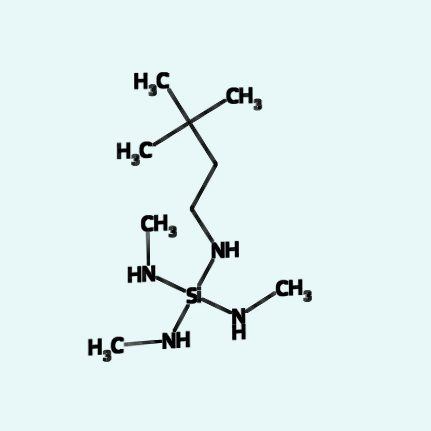 CN[Si](NC)(NC)NCCC(C)(C)C